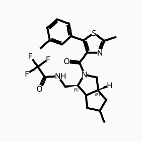 Cc1cccc(-c2sc(C)nc2C(=O)N2C[C@@H]3CC(C)CC3[C@H]2CNC(=O)C(F)(F)F)c1